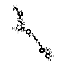 NC(=O)c1nn([C@H]2CC[C@H](CNCCCOCCCc3cccc4c3oc(=O)n4C3CCC(=O)NC3=O)CC2)cc1NC(=O)c1coc(-c2ccnc(NCC(F)(F)F)c2)n1